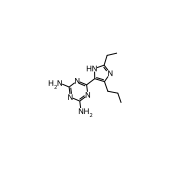 CCCc1nc(CC)[nH]c1-c1nc(N)nc(N)n1